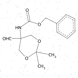 CC1(C)OCC(C=O)(NC(=O)OCc2ccccc2)CO1